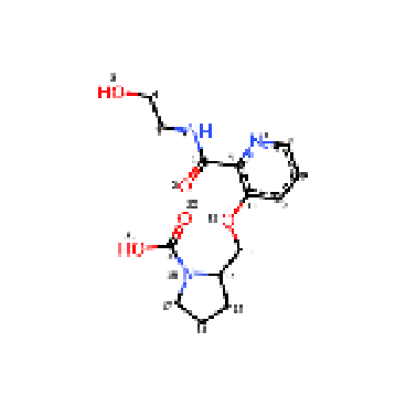 O=C(NCCO)c1ncccc1OCC1CCCN1C(=O)O